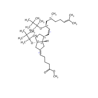 COC(=O)CCC/C=C1\C[C@H]2[C@H](/C=C\[C@H](C[C@H](C)CCC=C(C)C)O[Si](C)(C)C(C)(C)C)CC[C@]2(O[Si](C)(C)C(C)(C)C)C1